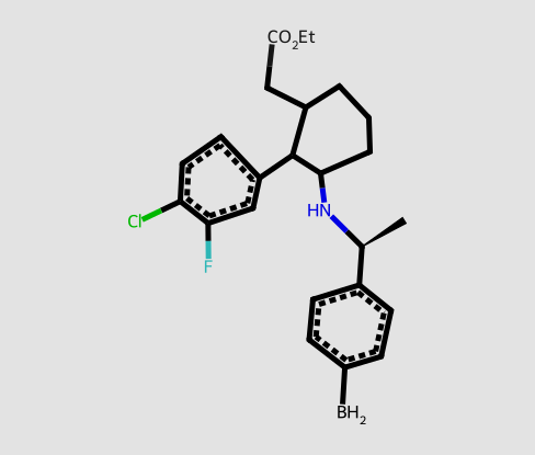 Bc1ccc([C@H](C)NC2CCCC(CC(=O)OCC)C2c2ccc(Cl)c(F)c2)cc1